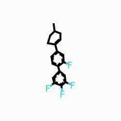 CC1CC=C(c2ccc(-c3cc(F)c(F)c(F)c3)c(F)c2)CC1